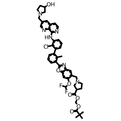 Cc1c(-c2nc3cc(CN4CCC(C(=O)OCOC(=O)C(C)(C)C)C4)c(OC(F)F)cc3o2)cccc1-c1cccc(Nc2nccc3cc(CN4CCC(O)C4)cnc23)c1Cl